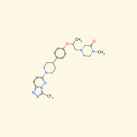 CC(CN1CCN(C)C(=O)C1)Oc1ccc(C2CCN(c3ccc4nnc(C(F)(F)F)n4n3)CC2)cc1